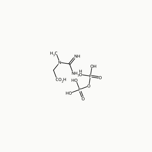 CN(CC(=O)O)C(=N)N.O=P(O)(O)OP(=O)(O)O